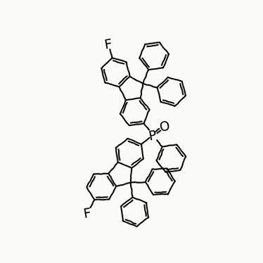 O=P(c1ccccc1)(c1ccc2c(c1)C(c1ccccc1)(c1ccccc1)c1cc(F)ccc1-2)c1ccc2c(c1)C(c1ccccc1)(c1ccccc1)c1cc(F)ccc1-2